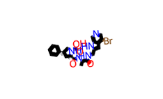 CC(NC(=O)[C@H]1C[C@H](c2ccccc2)CN1C(=O)O)C(=O)NCc1cc2c(Br)cncc2[nH]1